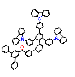 O=C(c1cccc(-c2cccc(-c3c(-c4cccc(-n5c6ccccc6c6ccccc65)c4)cc(-c4ccc(-n5c6ccccc6c6ccccc65)cc4)cc3-c3cccc(-n4c5ccccc5c5ccccc54)c3)c2)c1)c1cc(-c2ccccc2)cc(-c2ccccc2)c1